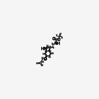 CC(C)(C)OC(=O)NCCc1c[nH]c2cc(OCC3CC3)ccc12